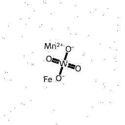 [Fe].[Mn+2].[O]=[W](=[O])([O-])[O-]